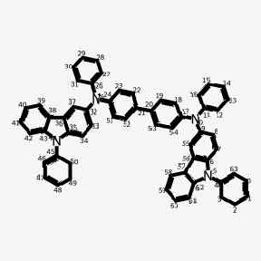 C1=CCCC(N2c3ccc(N(c4ccccc4)c4ccc(-c5ccc(N(c6ccccc6)c6ccc7c(c6)c6ccccc6n7C6=CC=CCC6)cc5)cc4)cc3C3C=CC=CC32)=C1